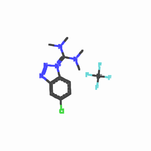 CN(C)C(N(C)C)=[N+]1N=Nc2cc(Cl)ccc21.F[B-](F)(F)F